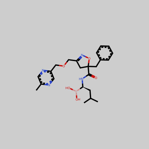 Cc1cnc(COCC2=NOC(Cc3ccccc3)(C(=O)N[C@@H](CC(C)C)B(O)O)C2)cn1